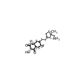 CC1(CN)CCN(CCc2cc3[nH]c(=O)n(O)c(=O)c3cc2F)C1